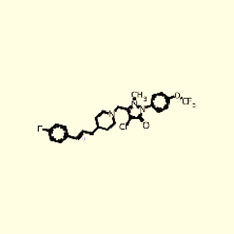 Cn1c(CN2CCC(C/C=C/c3ccc(F)cc3)CC2)c(Cl)c(=O)n1-c1ccc(OC(F)(F)F)cc1